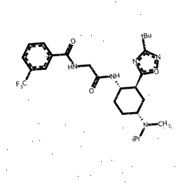 CC(C)N(C)[C@@H]1CC[C@H](NC(=O)CNC(=O)c2cccc(C(F)(F)F)c2)[C@@H](c2nc(C(C)(C)C)no2)C1